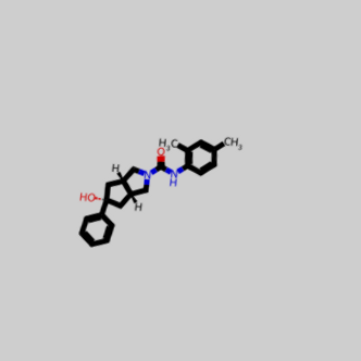 Cc1ccc(NC(=O)N2C[C@@H]3C[C@@](O)(c4ccccc4)C[C@@H]3C2)c(C)c1